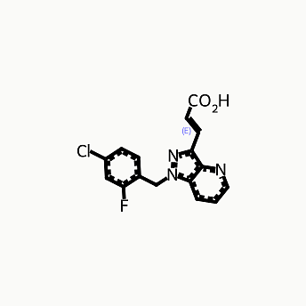 O=C(O)/C=C/c1nn(Cc2ccc(Cl)cc2F)c2cccnc12